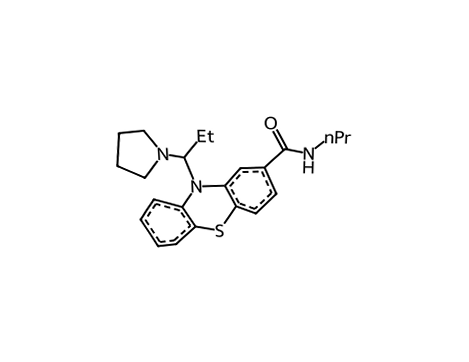 CCCNC(=O)c1ccc2c(c1)N(C(CC)N1CCCC1)c1ccccc1S2